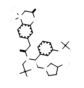 O=C1CS(O)(O)c2ccc(CC(=O)N(CC(F)(F)F)[C@H](CN3CCC(O)C3)c3cccc(OC(F)(F)F)c3)cc2N1